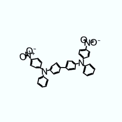 O=[N+]([O-])c1ccc(N(c2ccccc2)c2ccc(-c3ccc(N(c4ccccc4)c4ccc([N+](=O)[O-])cc4)cc3)cc2)cc1